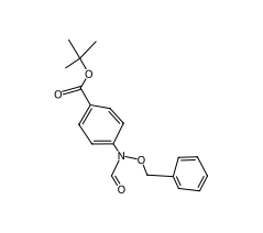 CC(C)(C)OC(=O)c1ccc(N(C=O)OCc2ccccc2)cc1